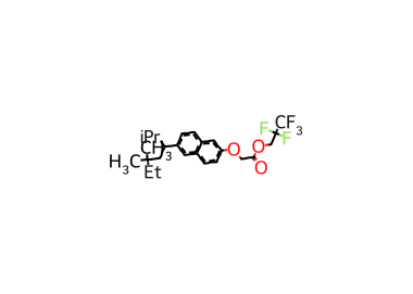 CCC(C)(C)CC(c1ccc2cc(OCC(=O)OCC(F)(F)C(F)(F)F)ccc2c1)C(C)C